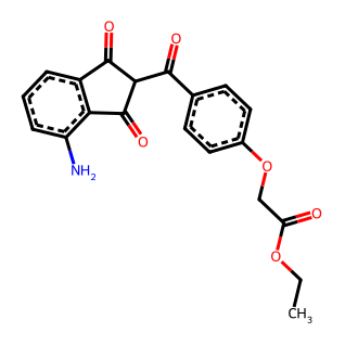 CCOC(=O)COc1ccc(C(=O)C2C(=O)c3cccc(N)c3C2=O)cc1